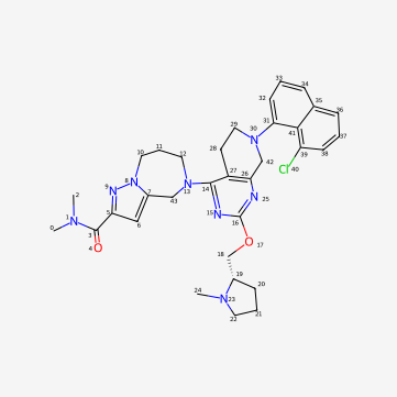 CN(C)C(=O)c1cc2n(n1)CCCN(c1nc(OC[C@@H]3CCCN3C)nc3c1CCN(c1cccc4cccc(Cl)c14)C3)C2